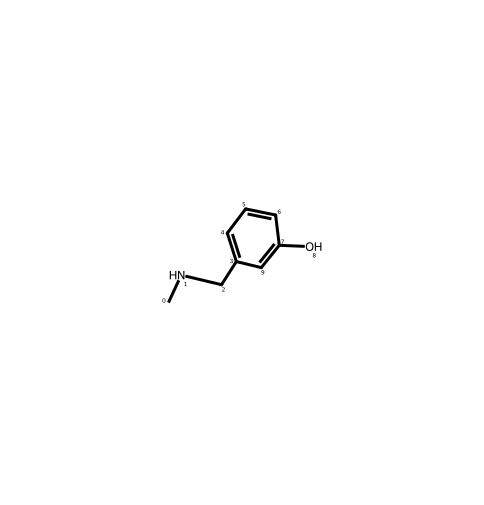 CNCc1cccc(O)c1